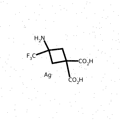 NC1(C(F)(F)F)CC(C(=O)O)(C(=O)O)C1.[Ag]